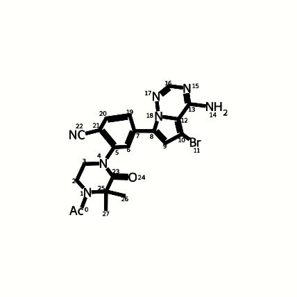 CC(=O)N1CCN(c2cc(-c3cc(Br)c4c(N)ncnn34)ccc2C#N)C(=O)C1(C)C